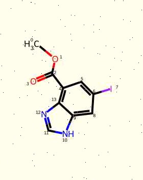 COC(=O)c1cc(I)cc2[nH]cnc12